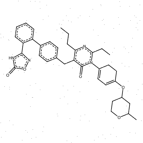 CCCc1nc(CC)n(C2=CC=C(OC3CCOC(C)C3)CC2)c(=O)c1Cc1ccc(-c2ccccc2-c2noc(=O)[nH]2)cc1